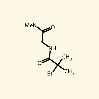 CCC(C)(C)C(=O)NCC(=O)NC